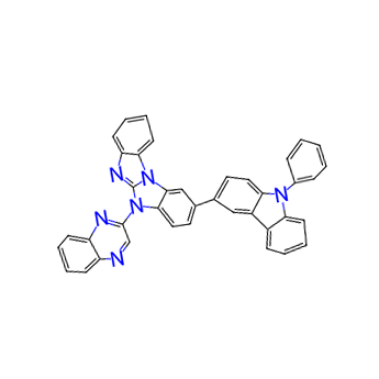 c1ccc(-n2c3ccccc3c3cc(-c4ccc5c(c4)n4c6ccccc6nc4n5-c4cnc5ccccc5n4)ccc32)cc1